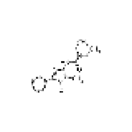 CCN(CC)C(=O)Nc1nn(-c2ccccc2)c(O)c1C